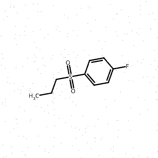 C[CH]CS(=O)(=O)c1ccc(F)cc1